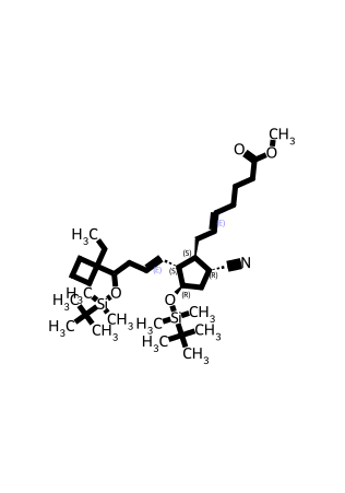 CCC1(C(C/C=C/[C@@H]2[C@@H](C/C=C/CCCC(=O)OC)[C@H](C#N)C[C@H]2O[Si](C)(C)C(C)(C)C)O[Si](C)(C)C(C)(C)C)CCC1